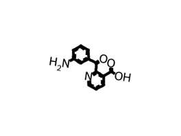 Nc1cccc(C(=O)c2ncccc2C(=O)O)c1